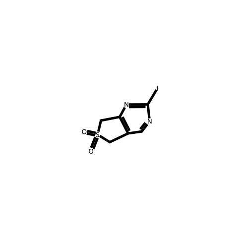 O=S1(=O)Cc2cnc(I)nc2C1